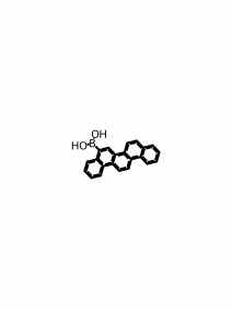 OB(O)c1cc2c(ccc3c4ccccc4ccc32)c2ccccc12